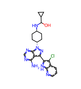 Nc1ncnc2c1c(-c1[nH]c3ncccc3c1Cl)nn2[C@H]1CC[C@H](NC(O)C2CC2)CC1